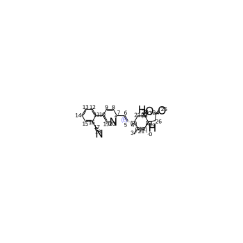 C[C@@H]1[C@@H](C)[C@H](/C=C/c2ccc(-c3ccccc3C#N)cn2)C[C@@H]2OC(=O)C[C@@H]12